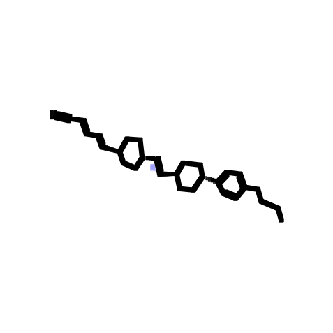 CCCCc1ccc([C@H]2CC[C@H](/C=C/[C@H]3CC[C@H](C=CC=CC#N)CC3)CC2)cc1